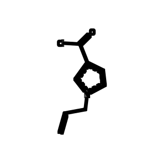 C=CCn1ccc(C(=O)Cl)c1